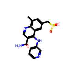 Cc1cc(C[SH](=O)=O)cc2c(Nc3cccnc3)c(C(N)=O)cnc12